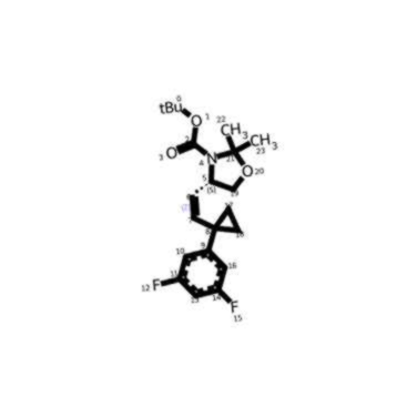 CC(C)(C)OC(=O)N1[C@@H](/C=C\C2(c3cc(F)cc(F)c3)CC2)COC1(C)C